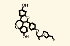 CC(COc1ccc(C2Oc3cc(O)ccc3C3=C2c2ccc(O)cc2OCC3)cc1)N1CCC(CF)C1